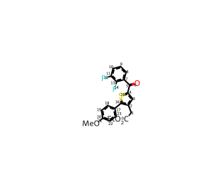 CCOC(=O)Cc1cc(C(=O)c2cccc(F)c2F)sc1-c1ccc(OC)cc1